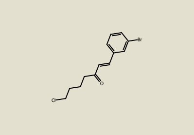 O=C(C=Cc1cccc(Br)c1)CCCCCl